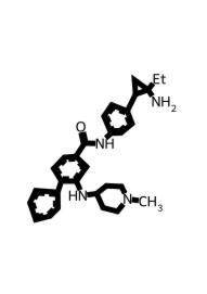 CCC1(N)CC1c1ccc(NC(=O)c2ccc(-c3ccccc3)c(NC3CCN(C)CC3)c2)cc1